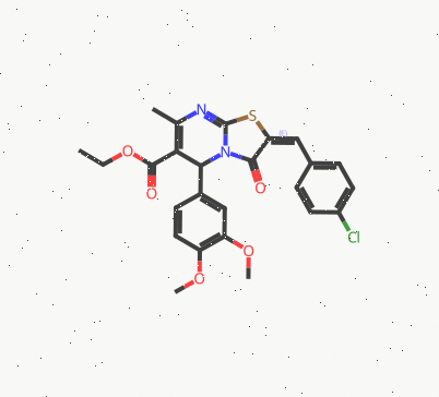 CCOC(=O)C1=C(C)N=c2s/c(=C/c3ccc(Cl)cc3)c(=O)n2C1c1ccc(OC)c(OC)c1